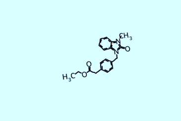 CCOC(=O)Cc1ccc(Cn2c(=O)n(C)c3ccccc32)cc1